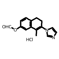 CC1=C(n2ccnc2)CCc2ccc(OC=O)cc21.Cl